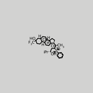 CC(C)[C@@H](O)CC([C@H](C)[C@@H]1CC[C@H]2[C@@H]3CC[C@H]4C[C@](O)(C(F)(F)F)CC[C@]4(C)[C@H]3CC[C@@]21C)S(=O)(=O)c1ccccc1